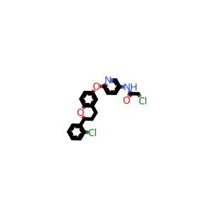 O=C(CCl)Nc1ccc(Oc2ccc3c(c2)CCC(c2ccccc2Cl)O3)nc1